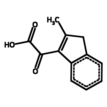 CC1=C(C(=O)C(=O)O)c2ccccc2C1